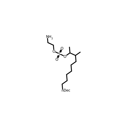 CCCCCCCCCCCCCCCCC(C)C(C)OS(=O)(=O)OCCN